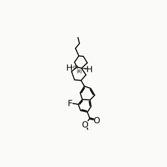 CCCC1CC[C@@H]2CC(c3ccc4cc(C(=O)OC)cc(F)c4c3)CC[C@H]2C1